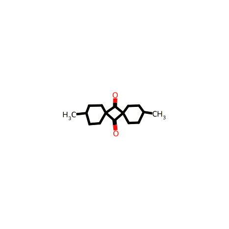 CC1CCC2(CC1)C(=O)C1(CCC(C)CC1)C2=O